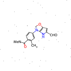 CNC(=O)c1ccc(N2COc3cc(C=O)[nH]c32)cc1C